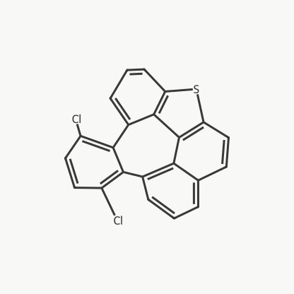 Clc1ccc(Cl)c2c1-c1cccc3ccc4sc5cccc-2c5c4c13